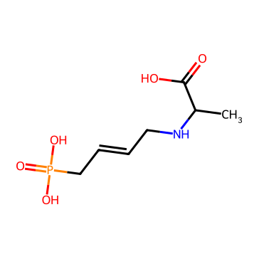 CC(NCC=CCP(=O)(O)O)C(=O)O